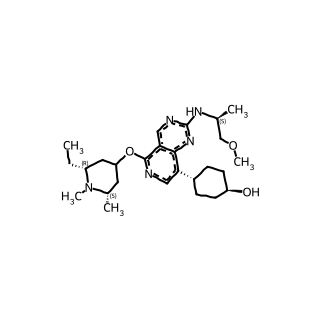 CC[C@@H]1CC(Oc2ncc([C@H]3CC[C@H](O)CC3)c3nc(N[C@@H](C)COC)ncc23)C[C@H](C)N1C